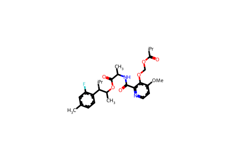 COc1ccnc(C(=O)NC(C)C(=O)OC(C)C(c2ccc(C)cc2F)C(C)C)c1OCOC(=O)C(C)C